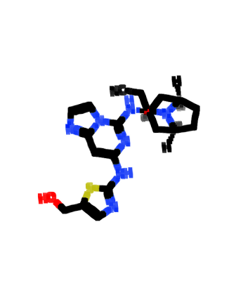 N#CCCN1[C@@H]2CC[C@H]1C[C@H](Nc1nc(Nc3ncc(CO)s3)cc3nccn13)C2